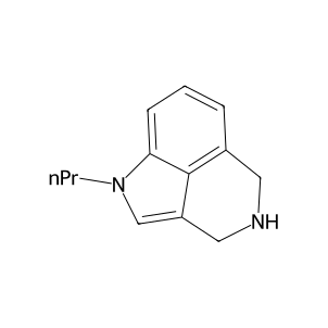 CCCn1cc2c3c(cccc31)CNC2